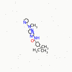 CN(Cc1ccccn1)c1ccc2nc(NC(=O)c3ccc(C(C)(C)C)cc3)cn2n1